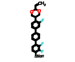 C=CC1OCC(c2ccc(-c3ccc(-c4ccc(CCCCCCCCC)c(F)c4F)cc3)cc2F)CO1